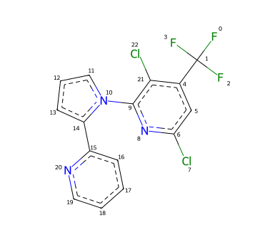 FC(F)(F)c1cc(Cl)nc(-n2cccc2-c2ccccn2)c1Cl